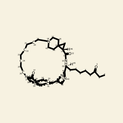 CCC(=O)CCCCC[C@@H]1NC(=O)[C@H]2CC23CCN(CCCCCCCCn2ccc4cc(ccc4c2=O)-c2cnc1[nH]2)CC3